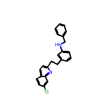 Clc1ccc2ccc(CCc3cccc(NCc4ccccc4)c3)nc2c1